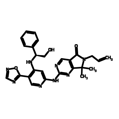 C=CCN1C(=O)c2cnc(Nc3cc(N[C@H](CO)c4ccccc4)c(-c4ncno4)cn3)nc2C1(C)C